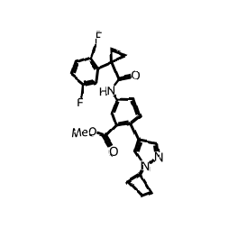 COC(=O)c1cc(NC(=O)C2(c3cc(F)ccc3F)CC2)ccc1-c1cnn(C2CCC2)c1